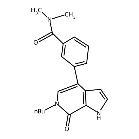 CCCCn1cc(-c2cccc(C(=O)N(C)C)c2)c2cc[nH]c2c1=O